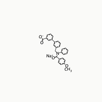 COc1ccc(C(=O)N(Cc2cccc(-c3cccc(C(=O)[O-])c3)c2)c2ccccc2)cc1.[Na+]